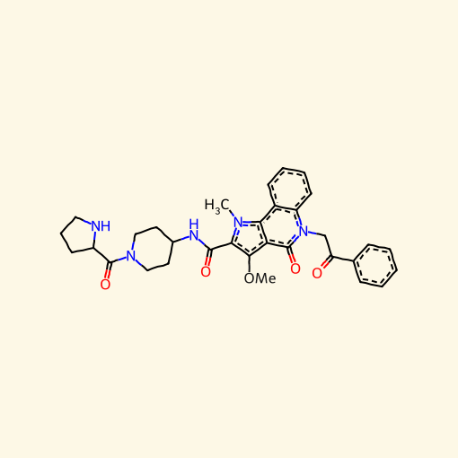 COc1c(C(=O)NC2CCN(C(=O)C3CCCN3)CC2)n(C)c2c1c(=O)n(CC(=O)c1ccccc1)c1ccccc21